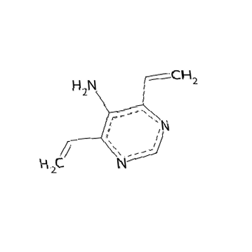 C=Cc1ncnc(C=C)c1N